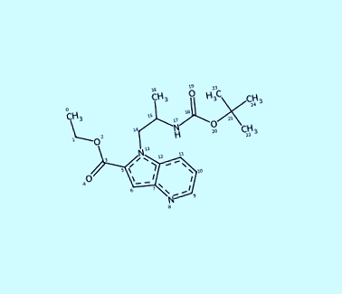 CCOC(=O)c1cc2ncccc2n1CC(C)NC(=O)OC(C)(C)C